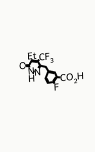 CCc1c(C(F)(F)F)c(Cc2ccc(F)c(C(=O)O)c2)n[nH]c1=O